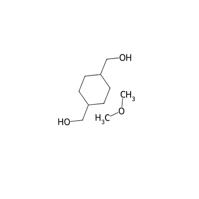 COC.OCC1CCC(CO)CC1